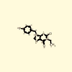 CCn1c(Cl)nc2c(ncn2Cc2ccc(F)cc2)c1=O